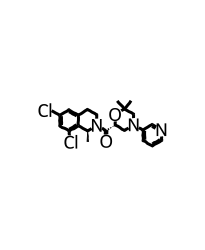 C[C@H]1c2c(Cl)cc(Cl)cc2CCN1C(=O)[C@H]1CN(c2cccnc2)CC(C)(C)O1